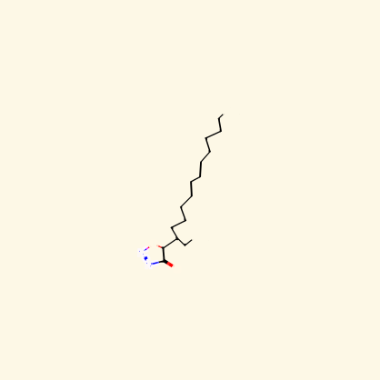 CCCCCCCCCCCCC(CC)C1ON=NC1=O